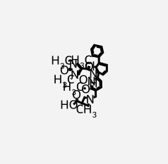 COc1nc(C2(NC(=O)c3cn(C)c(=O)n(C)c3=O)C=CC=C(c3ccccc3C)C2Cl)ccc1CN1CC(C)(C(=O)O)C1